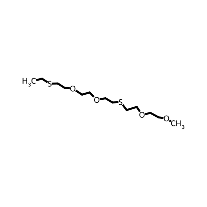 CCSCCOCCOCCSCCOCCOC